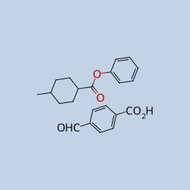 CC1CCC(C(=O)Oc2ccccc2)CC1.O=Cc1ccc(C(=O)O)cc1